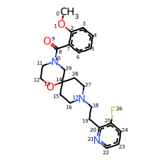 COc1ccccc1C(=O)N1CCOC2(CCN(CCc3ncccc3F)CC2)C1